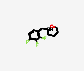 Fc1ccc(C[SiH]2CCCCO2)c(F)c1F